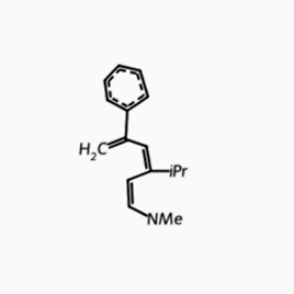 C=C(/C=C(\C=C/NC)C(C)C)c1ccccc1